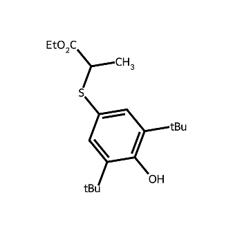 CCOC(=O)C(C)Sc1cc(C(C)(C)C)c(O)c(C(C)(C)C)c1